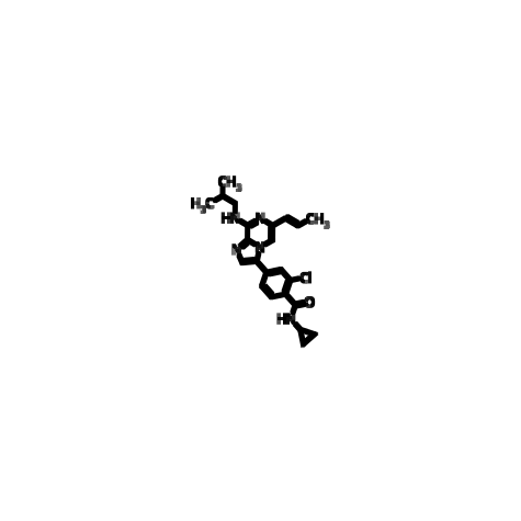 CC=Cc1cn2c(-c3ccc(C(=O)NC4CC4)c(Cl)c3)cnc2c(NCC(C)C)n1